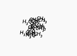 CC(C)c1ccc(N2c3cc(C(C)(C)C)ccc3B3c4oc5ccc(C(C)(C)C)cc5c4N(c4ccc(C(C)C)cc4)c4cc(C(C)(C)C)cc2c43)cc1